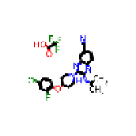 CC(C)Nc1nc2ccc(C#N)cc2nc1N1CCC(Oc2ccc(Cl)cc2F)CC1.O=C(O)C(F)(F)F